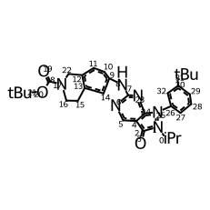 CC(C)n1c(=O)c2cnc(Nc3ccc4c(c3)CCN(C(=O)OC(C)(C)C)C4)nc2n1-c1cccc(C(C)(C)C)c1